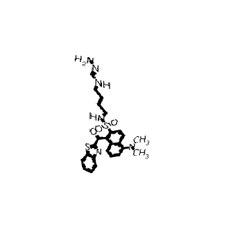 CN(C)c1cccc2c(C(=O)c3nc4ccccc4s3)c(S(=O)(=O)NCCCCNC=NN)ccc12